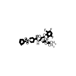 CC(C)(C)OC(=O)C[C@H](NC(=O)C1CCN(S(=O)(=O)c2ccccc2)CC1)C(O)COc1c(F)c(F)cc(F)c1F